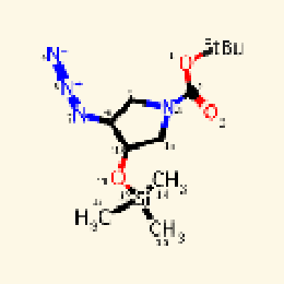 CC(C)(C)OC(=O)N1CC(N=[N+]=[N-])C(O[Si](C)(C)C)C1